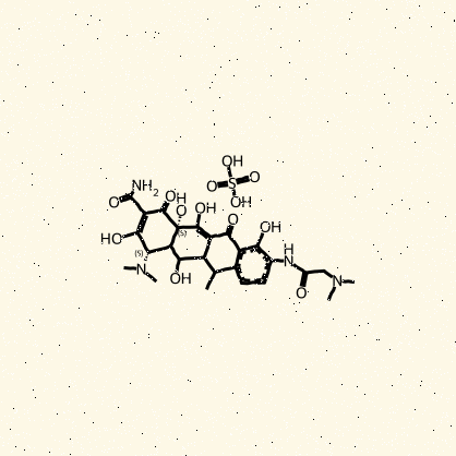 CC1c2ccc(NC(=O)CN(C)C)c(O)c2C(=O)C2=C(O)[C@]3(O)C(=O)C(C(N)=O)=C(O)[C@@H](N(C)C)C3C(O)C21.O=S(=O)(O)O